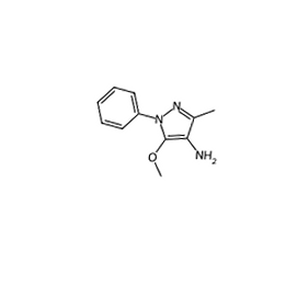 COc1c(N)c(C)nn1-c1ccccc1